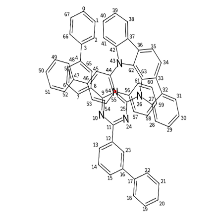 c1ccc(-c2cccc(-c3nc(-c4cccc(-c5ccccc5)c4)nc(-n4c5ccccc5c5ccc6c7ccccc7n(-c7cc(-c8ccccc8)ccc7-c7ccccc7)c6c54)n3)c2)cc1